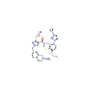 COCc1nn(Cc2ccc3c(c2)CN(C)CC3)cc1C(=O)NCc1c(-n2ccc(C3CC3)n2)ccc(OC)c1F